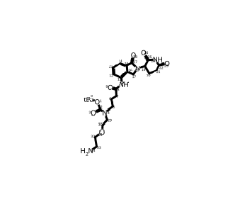 CC(C)(C)OC(=O)N(CCCC(=O)Nc1cccc2c1CN(C1CCC(=O)NC1=O)C2=O)CCOCCN